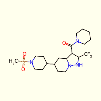 CS(=O)(=O)N1CCC(C2CCN3NC(C(F)(F)F)C(C(=O)N4CCCCC4)C3C2)CC1